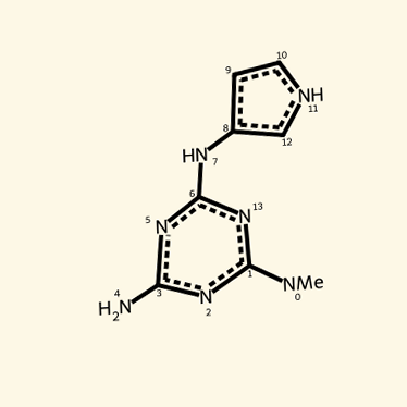 CNc1nc(N)nc(Nc2cc[nH]c2)n1